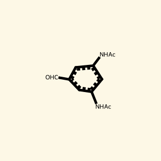 CC(=O)Nc1cc(C=O)cc(NC(C)=O)c1